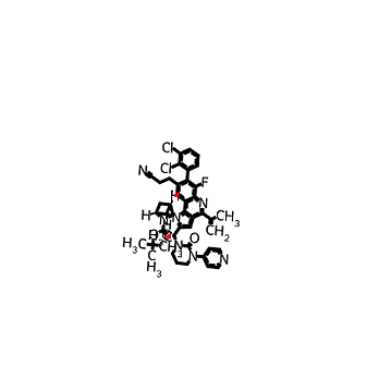 C=C(C)c1nc2c(F)c(-c3cccc(Cl)c3Cl)c(CCC#N)cc2c2c1cc([C@@H](C)N1CCCN(c3ccncc3)C1=O)n2[C@H]1[C@@H]2C[C@H]1N(C(=O)OC(C)(C)C)C2